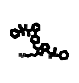 CCCCc1nc2c(NC(=O)NC3CCCCC3)cccc2n1Cc1ccc(-c2ccccc2C(=O)NS(=O)(=O)c2ccccc2)cc1